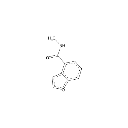 CNC(=O)c1cccc2occc12